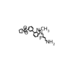 Cc1nc2c(-c3cccc(S(=O)(=O)N4CCCC4)c3)cccc2n1C/C(F)=C/CN